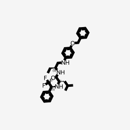 CC[C@@H](CNc1ccc(OCc2ccccc2)cc1)NC(=O)[C@H](CC(C)C)N[C@@H](c1ccccc1)C(F)(F)F